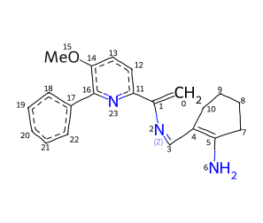 C=C(/N=C\C1=C(N)CCCC1)c1ccc(OC)c(-c2ccccc2)n1